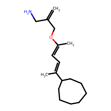 C=C(CN)CO/C(C)=C/C=C(\C)C1CCCCCCC1